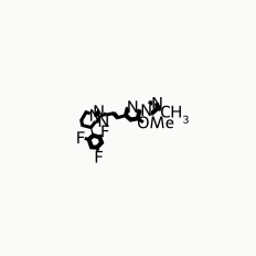 COc1cc(/C=C/c2nc3n(n2)CCC[C@@H]3c2c(F)cc(F)cc2F)cnc1-n1cnc(C)c1